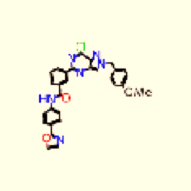 COc1ccc(Cn2cc3nc(-c4cccc(C(=O)Nc5ccc(-c6ncco6)cc5)c4)nc(Cl)c3n2)cc1